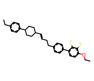 CCOc1ccc(-c2ccc(CC/C=C/C3CCC(c4ccc(CC)cc4)CC3)cc2)c(F)c1F